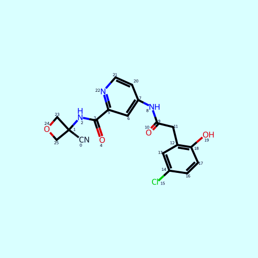 N#CC1(NC(=O)c2cc(NC(=O)Cc3cc(Cl)ccc3O)ccn2)COC1